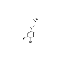 Fc1cc(OCC2CO2)ccc1Br